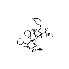 CC(C)(C)OC(=O)N[C@H](C(=O)N1CCC[C@H]1C(=O)NC(CC1CCCC1)C(=O)C(N)=O)C1CCCCC1